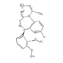 C/N=C(/C)N1C(=N)CO[C@H](c2cccc(OC)c2OC)c2cc(Cl)ccc21